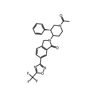 CC(=O)N1CCC(N2Cc3ccc(-c4noc(C(F)(F)F)n4)cc3C2=O)[C@@H](c2ccccc2)C1